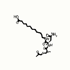 CC(=O)CSC[C@H](C)C(=O)N[C@H](CC(N)=O)C(=O)NCCCCCCCCCCC(=O)O